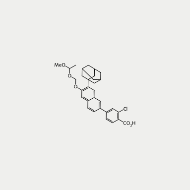 COC(C)OCOc1cc2ccc(-c3ccc(C(=O)O)c(Cl)c3)cc2cc1C12CC3CC(CC(C3)C1)C2